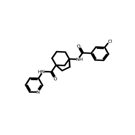 O=C(NC12CCCC(C(=O)Nc3cccnc3)(CC1)C2)c1cccc(Cl)c1